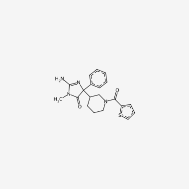 CN1C(=O)C(c2ccccc2)(C2CCCN(C(=O)c3cccs3)C2)N=C1N